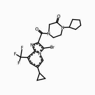 O=C(c1nc2c(C(F)(F)F)cc(C3CC3)cn2c1Br)N1CCN(C2CCCC2)C(=O)C1